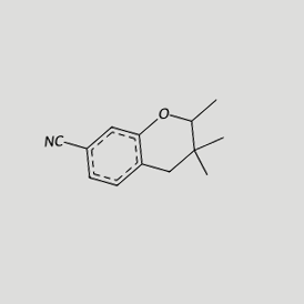 CC1Oc2cc(C#N)ccc2CC1(C)C